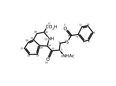 CC(=O)N[C@H](CSC(=O)c1ccccc1)C(=O)C1NC(C(=O)O)Cc2ccccc21